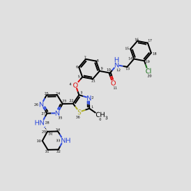 Cc1nc(Oc2cccc(C(=O)NCc3ccccc3Cl)c2)c(-c2ccnc(N[C@H]3CCCNC3)n2)s1